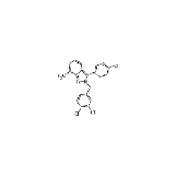 FC(F)(F)c1cccc2c(-c3ccc(Cl)cc3)n(Cc3ccc(Cl)c(Cl)c3)nc12